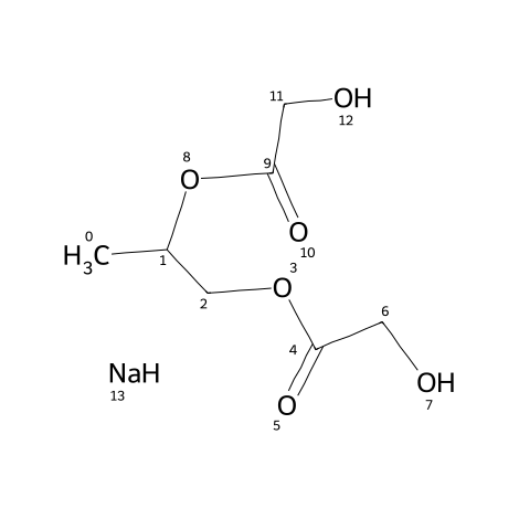 CC(COC(=O)CO)OC(=O)CO.[NaH]